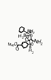 BC(B)(c1ccccc1)S(=O)(=O)OC1=C(N)O[C@](B)(c2ccc(C(=O)OC)cc2)C1=O